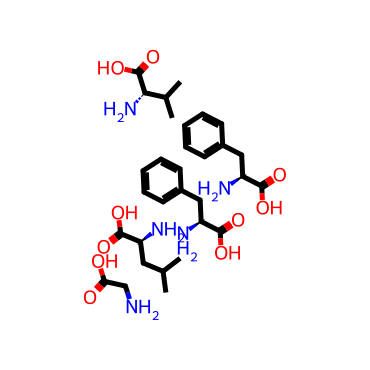 CC(C)C[C@H](N)C(=O)O.CC(C)[C@H](N)C(=O)O.NCC(=O)O.N[C@@H](Cc1ccccc1)C(=O)O.N[C@@H](Cc1ccccc1)C(=O)O